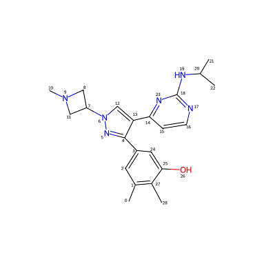 Cc1cc(-c2nn(C3CN(C)C3)cc2-c2ccnc(NC(C)C)n2)cc(O)c1C